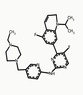 CCN1CCN(Cc2ccc(Nc3ncc(F)c(-c4cc(F)c5c(c4)N(C(C)C)CC=C5)n3)nc2)CC1